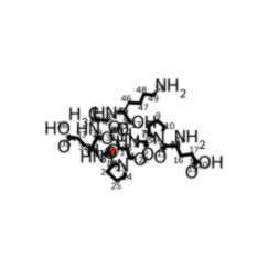 CC(C)[C@H](NC(=O)[C@@H]1CCCN1C(=O)[C@@H](N)CCC(=O)O)C(=O)N1CCC[C@H]1C(=O)N[C@@H](CCC(=O)O)C(=O)N[C@@H](C)C(=O)N[C@@H](CCCCN)C(=O)O